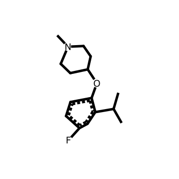 CC(C)c1cc(F)ccc1OC1CCN(C)CC1